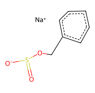 O=S([O-])OCc1ccccc1.[Na+]